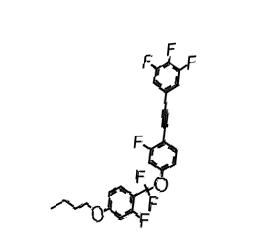 CCCCOc1ccc(C(F)(F)Oc2ccc(C#Cc3cc(F)c(F)c(F)c3)c(F)c2)c(F)c1